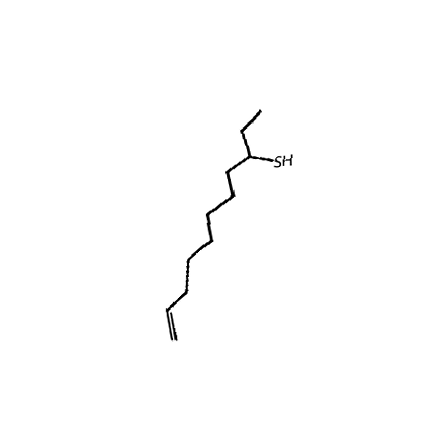 C=CCCCCCCC(S)CC